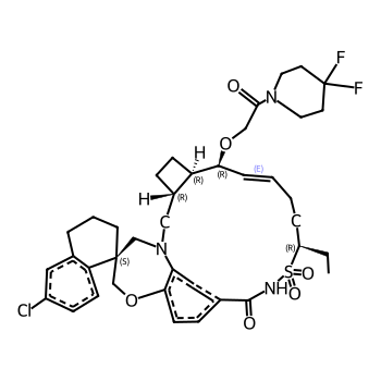 CC[C@@H]1CC/C=C/[C@H](OCC(=O)N2CCC(F)(F)CC2)[C@@H]2CC[C@H]2CN2C[C@@]3(CCCc4cc(Cl)ccc43)COc3ccc(cc32)C(=O)NS1(=O)=O